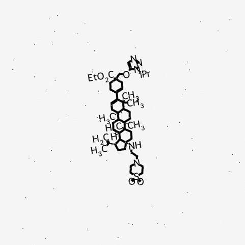 C=C(C)[C@@H]1CC[C@]2(NCCN3CCS(=O)(=O)CC3)CC[C@]3(C)[C@H](CCC4[C@@]5(C)CC=C(C6=CCC(COc7cnnn7C(C)C)(C(=O)OCC)CC6)C(C)(C)C5CC[C@]43C)C12